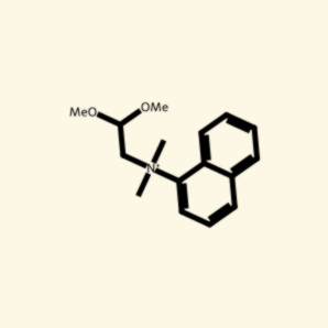 COC(C[N+](C)(C)c1cccc2ccccc12)OC